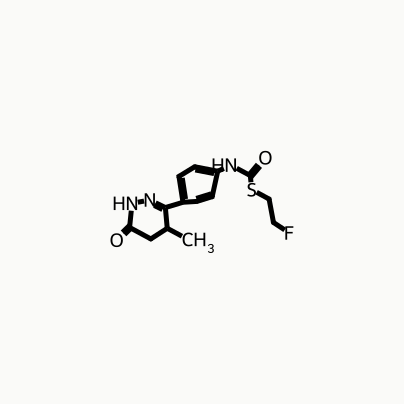 CC1CC(=O)NN=C1c1ccc(NC(=O)SCCF)cc1